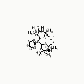 CC1(C)CC(N(c2ncncn2)C2CC(C)(C)NC(C)(C)C2)CC(C)(C)N1